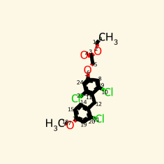 CCOC(=O)COc1cc(Cl)c(Cc2ccc(OC)cc2Cl)c(Cl)c1